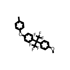 COc1ccc(C(c2ccc(Oc3ccc(C)cc3)cc2)(C(F)(F)F)C(F)(F)F)cc1